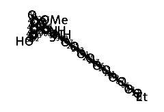 CCOCCOCCOCCOCCOCCOCCOCCOCCOCCOCCNC(=S)Nc1ccc(C2=C3CCC(=O)C=C3Cc3cc(O)ccc32)c(OOC)c1